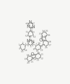 c1ccc(-c2cc(-c3cc(-c4cccc5c4oc4ccccc45)cc(-c4cccc5c4oc4ccccc45)c3)nc(-c3ccc(-c4ncncn4)cc3)n2)cc1